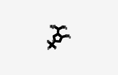 CC(C)C1C[C@H](C(F)(F)F)CN1C